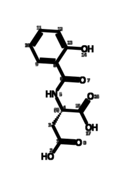 O=C(O)C[C@H](NC(=O)c1ccccc1O)C(=O)O